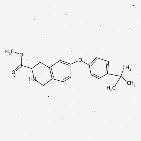 COC(=O)C1Cc2cc(Oc3ccc(C(C)(C)C)cc3)ccc2CN1